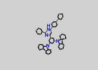 C1=C(c2cc(-n3c4ccccc4c4ccccc43)cc(-n3c4ccccc4c4ccccc43)c2)N=C(c2ccccc2)NC1c1ccc(-c2ccccc2)cc1